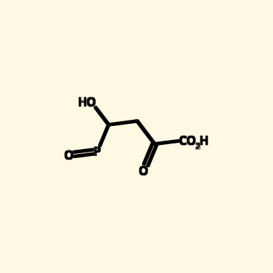 O=PC(O)CC(=O)C(=O)O